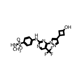 CNS(=O)(=O)c1ccc(Nc2ncc(C(F)(F)F)c(-n3cc(C4CC(O)C4)cn3)n2)cc1